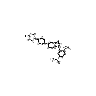 Cc1ccc([S+]([O-])C(F)(F)F)cc1-c1cnn2cc(-c3ccc(N4CCNCC4)cc3)cnc12